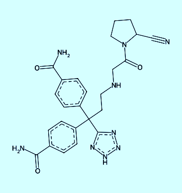 N#CC1CCCN1C(=O)CNCCC(c1ccc(C(N)=O)cc1)(c1ccc(C(N)=O)cc1)c1nn[nH]n1